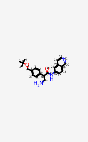 CC(C)(C)OCc1ccc(C(CN)C(=O)Nc2ccc3cnccc3c2)cc1